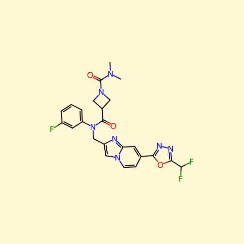 CN(C)C(=O)N1CC(C(=O)N(Cc2cn3ccc(-c4nnc(C(F)F)o4)cc3n2)c2cccc(F)c2)C1